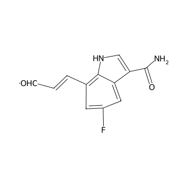 NC(=O)c1c[nH]c2c(/C=C/[C]=O)cc(F)cc12